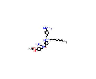 CCCCCCCCCCn1c(CCc2ccc(C(=N)N)cc2)nc2cc(C(=O)N(CCN)Cc3ccc(C(=O)OC)cc3)ccc21